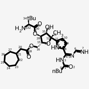 CCCCC(=O)N/C(=N/C=N)c1ccc([C@]2(C)O[C@H](COC(=O)CC3CCCCCC3)[C@@H](OC(=O)[C@@H](N)C(C)(C)C)[C@H]2O)[nH]1